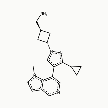 Cn1ncc2cncc(-c3cn([C@H]4C[C@H](CN)C4)nc3C3CC3)c21